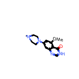 COc1cc(N2CCN(C)CC2)cc2nc[nH]c(=O)c12